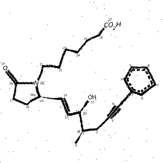 C[C@H](CC#Cc1ccccc1)[C@H](O)/C=C/[C@H]1CCC(=O)N1CCCCCCC(=O)O